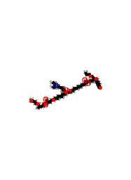 C=C=C=C=CC(CCCCC)CCOC(=O)CCCCCCCCCC(CCCCCCCCCC(=O)OCCC(C)CCCCC)OCCCCN(CC)CC